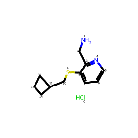 Cl.NCc1ncccc1SCC1CCC1